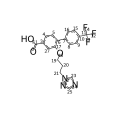 O=C(O)c1ccc(-c2ccc(C(F)(F)F)cc2)c(OCCCn2cncn2)c1